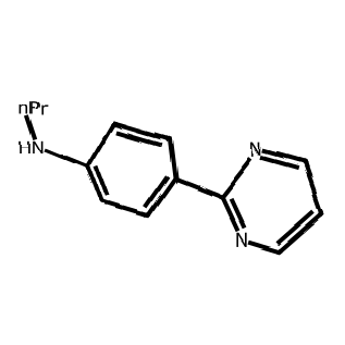 CCCNc1ccc(-c2ncccn2)cc1